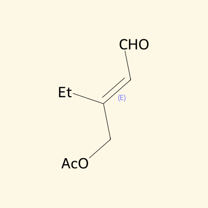 CC/C(=C\C=O)COC(C)=O